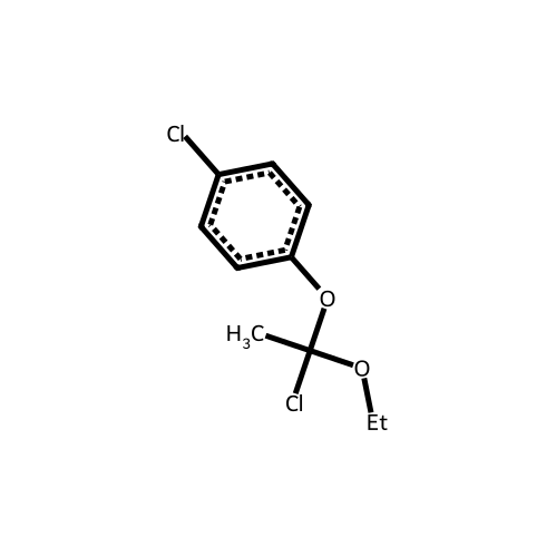 CCOC(C)(Cl)Oc1ccc(Cl)cc1